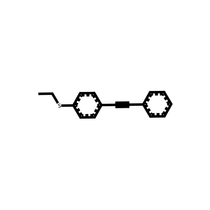 CCSc1ccc(C#Cc2ccccc2)cc1